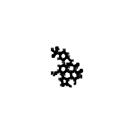 Cc1noc(C)c1-c1c(C)[nH]c(=O)c(C(=O)NCc2ccc(S(C)(=O)=O)cc2)c1-c1cccc(C(F)(F)F)c1